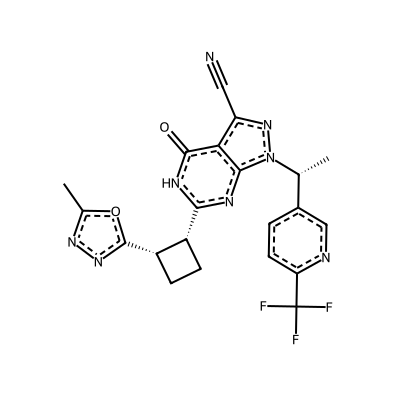 Cc1nnc([C@H]2CC[C@H]2c2nc3c(c(C#N)nn3[C@H](C)c3ccc(C(F)(F)F)nc3)c(=O)[nH]2)o1